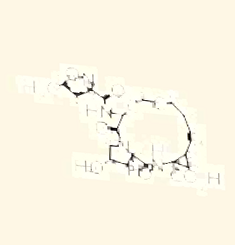 Cc1cc(C(=O)N[C@H]2CCCCC/C=C\C3C[C@@]3(C(=O)O)NC(=O)[C@@H]3C[C@@H](O)CN3C2=O)no1